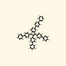 c1ccc(-c2ccc(-c3ccc4c(c3)c(-c3ccc(-c5ccccc5)cc3)c(-c3ccc(-c5ccccc5)cc3)n4-c3ccc(-c4ccccc4)cc3)cc2)cc1